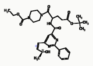 CCOC(=O)N1CCN(C(=O)C(CCC(=O)OC(C)(C)C)NC(=O)c2cc(/C=C\[C@H](C)O)nc(-c3ccccc3)n2)CC1